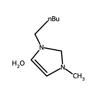 CCCCCN1C=CN(C)C1.O